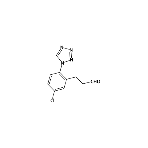 O=CCCc1cc(Cl)ccc1-n1cnnn1